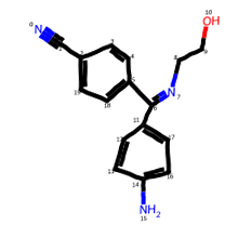 N#Cc1ccc(/C(=N\CCO)c2ccc(N)cc2)cc1